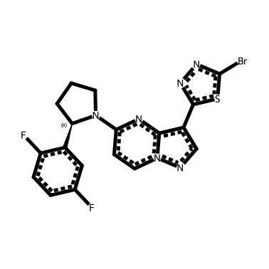 Fc1ccc(F)c([C@H]2CCCN2c2ccn3ncc(-c4nnc(Br)s4)c3n2)c1